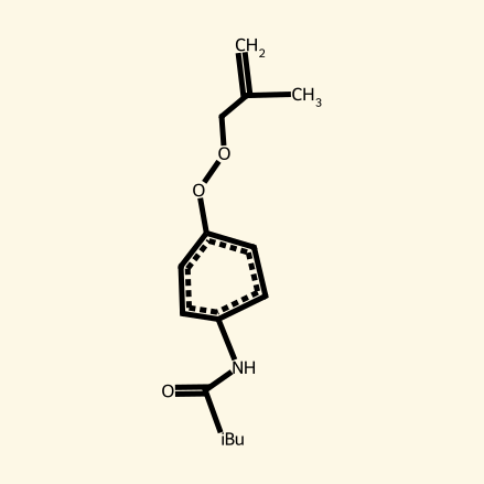 C=C(C)COOc1ccc(NC(=O)C(C)CC)cc1